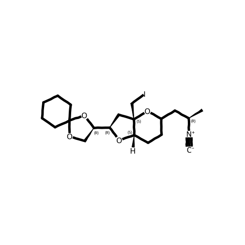 [C-]#[N+][C@H](C)CC1CC[C@@H]2O[C@@H]([C@H]3COC4(CCCCC4)O3)C[C@]2(CI)O1